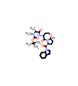 C[C@@H](C(=O)N[C@H]1CCO[C@H]2CC[C@@H](C(=O)n3ccc4ccccc43)N2C1=O)N(C)C(=O)OC(C)(C)C